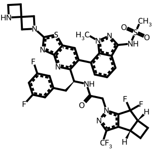 Cn1nc(NS(C)(=O)=O)c2cccc(-c3cc4sc(N5CC6(CCN6)C5)nc4nc3[C@H](Cc3cc(F)cc(F)c3)NC(=O)Cn3nc(C(F)(F)F)c4c3C(F)(F)[C@@H]3CC[C@H]43)c21